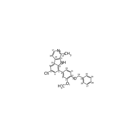 COc1cc(-c2cc(Cl)cc3c2[nH]c2c(C)nccc23)ccc1OCc1ccccc1